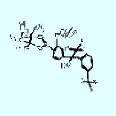 COc1cc(C(O)(c2cccc(C(F)(F)F)c2)C(F)(F)F)ccc1B1OC(C)(C)C(C)(C)O1